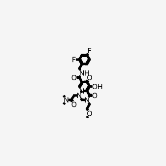 COCCN1CN(CC(=O)N(C)C)n2cc(C(=O)NCc3ccc(F)cc3F)c(=O)c(O)c2C1=O